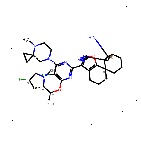 C[C@H](Oc1nc(-c2noc3c2CCC[C@@]32CCCc3sc(N)c(C#N)c32)nc(N2CCN(C)C3(CC3)C2)c1Cl)[C@@H]1C[C@@H](F)CN1C